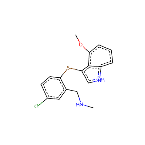 CNCc1cc(Cl)ccc1Sc1c[nH]c2cccc(OC)c12